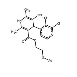 CC(=O)SCCOC(=O)C1=C(C)NC(C)=C([N+](=O)[O-])C1c1cccc(Cl)c1Cl